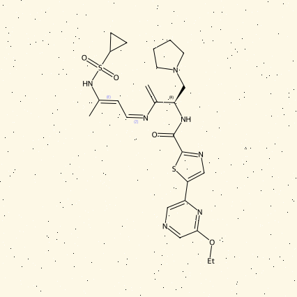 C=C(/N=C\C=C(/C)NS(=O)(=O)C1CC1)[C@@H](CN1CCCC1)NC(=O)c1ncc(-c2cncc(OCC)n2)s1